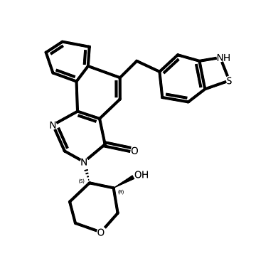 O=c1c2cc(Cc3ccc4s[nH]c4c3)c3ccccc3c2ncn1[C@H]1CCOC[C@@H]1O